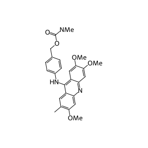 CNC(=O)OCc1ccc(Nc2c3cc(C)c(OC)cc3nc3cc(OC)c(OC)cc23)cc1